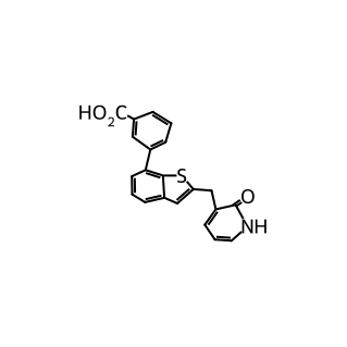 O=C(O)c1cccc(-c2cccc3cc(Cc4ccc[nH]c4=O)sc23)c1